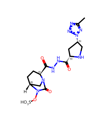 Cc1nnn([C@@H]2CN[C@H](C(=O)NNC(=O)[C@@H]3CC[C@@H]4CN3C(=O)N4OS(=O)(=O)O)C2)n1